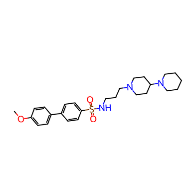 COc1ccc(-c2ccc(S(=O)(=O)NCCCN3CCC(N4CCCCC4)CC3)cc2)cc1